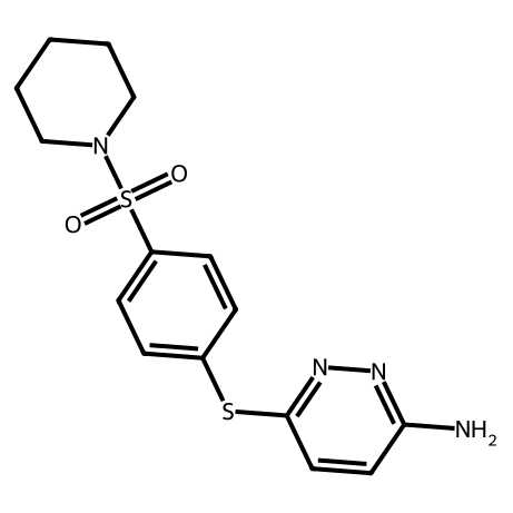 Nc1ccc(Sc2ccc(S(=O)(=O)N3CCCCC3)cc2)nn1